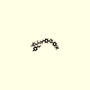 CCCc1ccc(C)cc1N1C(=O)CS/C1=N\C(=S)NCCCc1ccc(-c2ncn(-c3ccc(OC(F)(F)F)cc3)n2)cc1